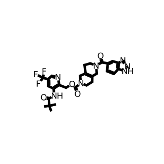 CC(C)(C)C(=O)Nc1cc(C(F)(F)F)cnc1COC(=O)N1CCC2=C(CCN(C(=O)c3ccc4[nH]nnc4c3)C2)C1